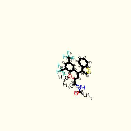 COC(C=C(c1cc(C(F)(F)F)cc(C(F)(F)F)c1)c1csc2ccccc12)C(C)NC(C)=O